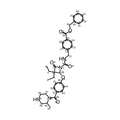 CCC1(CC)C(=O)N(C(=O)NCc2ccc(C(=O)OCc3ccccc3)cc2)C1Oc1ccc(C(=O)N2CCNCC2C)cc1